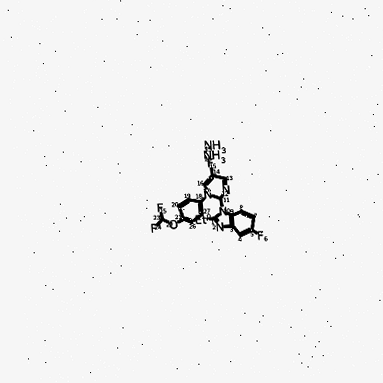 CCc1nc2cc(F)ccc2n1C1N=CC(F)=CN1c1ccc(OC(F)F)cc1.N.N